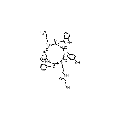 C[C@@H](O)[C@@H]1NC[C@H](CCCCN)NC(=O)[C@@H](Cc2c[nH]c3ccccc23)NC(=O)[C@H](Cc2ccc(O)cc2)NC(=O)[C@H](CCCCNC(=O)CCS)NC(=O)[C@H](Cc2ccccc2)NC1=O